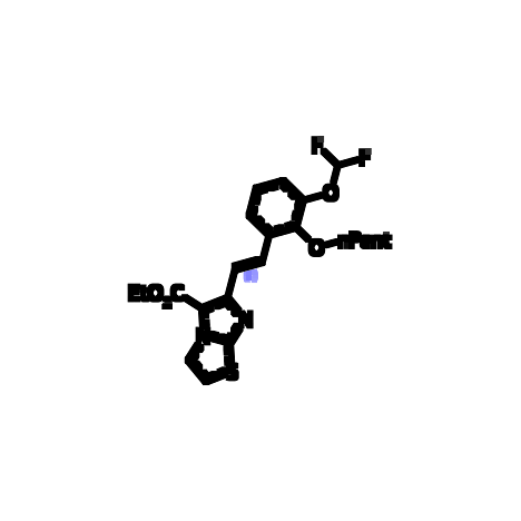 CCCCCOc1c(/C=C/c2nc3sccn3c2C(=O)OCC)cccc1OC(F)F